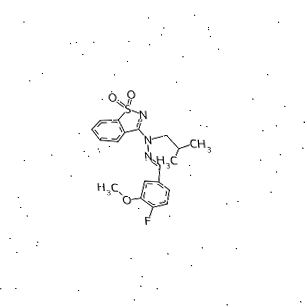 COc1cc(/C=N/N(CC(C)C)C2=NS(=O)(=O)c3ccccc32)ccc1F